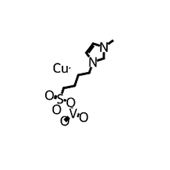 CN1C=CN(CCCCS(=O)(=O)[O][V](=[O])=[O])C1.[Cu]